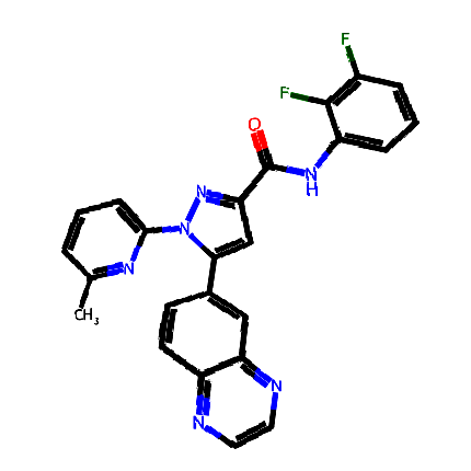 Cc1cccc(-n2nc(C(=O)Nc3cccc(F)c3F)cc2-c2ccc3nccnc3c2)n1